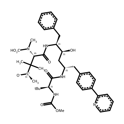 COC(=O)N[C@H](C(=O)N[C@@H](Cc1ccc(-c2ccccn2)cc1)C[C@H](O)[C@H](Cc1ccccc1)NC(=O)[C@@H](N(C)C(=O)O)C(C)(C)[S@@+](C)[O-])C(C)(C)C